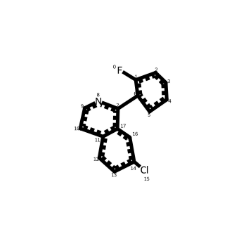 Fc1ccccc1-c1nccc2ccc(Cl)cc12